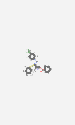 C/C(=C\Oc1ccccc1)C(=Nc1ccc(Cl)cc1)Sc1ccccc1